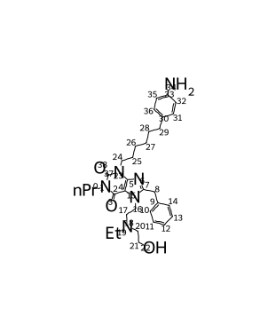 CCCn1c(=O)c2c(nc(Cc3ccccc3)n2CCN(CC)CCO)n(CCCCCCc2ccc(N)cc2)c1=O